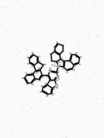 C[C@]12CCC3=C(CCC=C3)C1c1c(ccc3ccccc13)N2c1nc(-c2cc3ccccc3c3c2Cc2ccccc2-3)c2c(n1)oc1ccccc12